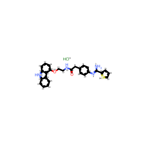 Cl.N/C(=N\c1ccc(CC(=O)NCCOc2cccc3[nH]c4ccccc4c23)cc1)c1cccs1